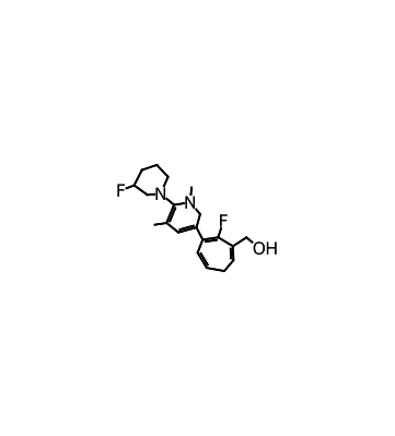 CC1=C(N2CCCC(F)C2)N(C)CC(C2=C(F)C(CO)=CCC=C2)=C1